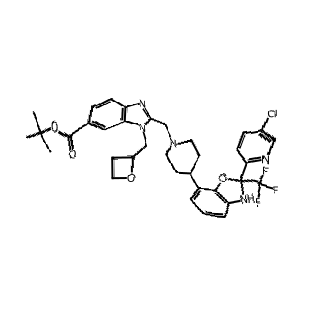 CC(C)(C)OC(=O)c1ccc2nc(CN3CCC(c4cccc5c4OC(c4ccc(Cl)cn4)(C(F)(F)F)N5)CC3)n(CC3CCO3)c2c1